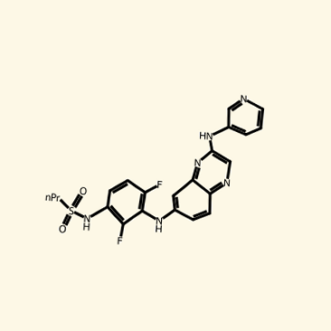 CCCS(=O)(=O)Nc1ccc(F)c(Nc2ccc3ncc(Nc4cccnc4)nc3c2)c1F